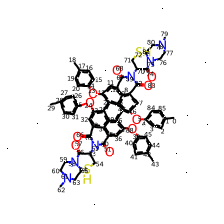 Cc1ccc(Oc2cc3c4c(cc(Oc5ccc(C)cc5)c5c6c(Oc7ccc(C)cc7)cc7c8c(cc(Oc9ccc(C)cc9)c(c2c45)c86)C(=O)N(C(CS)C(=O)N2CCN(C)CC2)C7=O)C(=O)N(C(CS)C(=O)N2CCN(C)CC2)C3=O)cc1